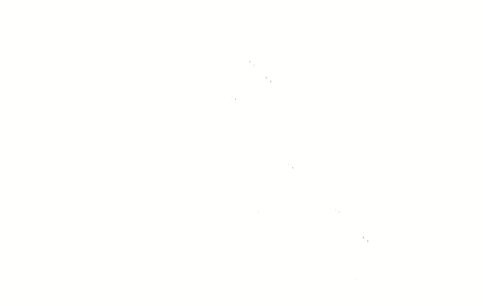 COc1nc(/C=C/c2nc3n(n2)CC[C@H]3c2cc(F)c(F)c(F)c2)ccc1-n1cnc(C)c1